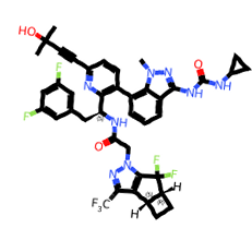 Cn1nc(NC(=O)NC2CC2)c2cccc(-c3ccc(C#CC(C)(C)O)nc3[C@H](Cc3cc(F)cc(F)c3)NC(=O)Cn3nc(C(F)(F)F)c4c3C(F)(F)[C@@H]3CC[C@H]43)c21